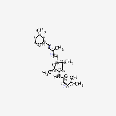 CC(/C=C/[C@@H]1CC(C)CCO1)=C\C[C@@H]1OC(C)C(NC(=O)/C=C\C(C)O)CC1C